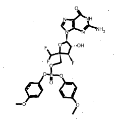 COc1ccc(OP(=O)(OC[C@@]2(C(F)F)O[C@@H](n3cnc4c(=O)[nH]c(N)nc43)[C@H](O)[C@H]2F)Oc2ccc(OC)cc2)cc1